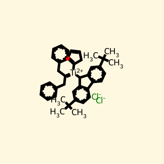 CC(C)(C)c1ccc2c(c1)[CH]([Ti+2]([C]1=CC=CC1)=[C](Cc1ccccc1)Cc1ccccc1)c1cc(C(C)(C)C)ccc1-2.[Cl-].[Cl-]